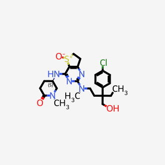 CCC(CO)(CCN(C)c1nc2c(c(N[C@H]3CCC(=O)N(C)C3)n1)[S+]([O-])CC2)c1ccc(Cl)cc1